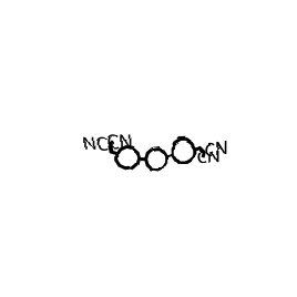 N#CC(C#N)=CC1CCCCCC(C2CCCCCC(C3CCCCCC(C=C(C#N)C#N)CCCC3)CCCC2)CCCCC1